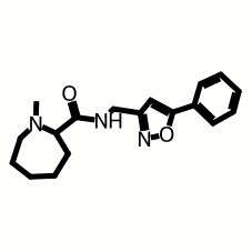 CN1CCCCCC1C(=O)NCc1cc(-c2ccccc2)on1